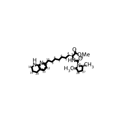 COC(=O)[C@H](CCCCCCCc1ccc2c(n1)NCCC2)NC(=O)N1[C@H](C)CC[C@@H]1C